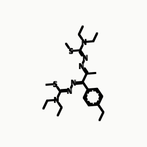 CCc1ccc(C(=N\N=C(/SC)N(CC)CC)/C(C)=N/N=C(\SC)N(CC)CC)cc1